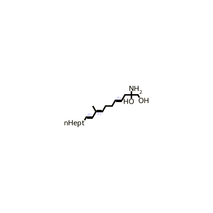 CCCCCCC/C=C/C(C)=C/CC/C=C/CC(N)(O)CO